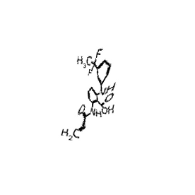 C=CC(=O)Nc1cccc(Nc2cccc(C(C)(F)F)c2)c1C(=O)O